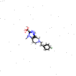 COC(=O)c1nc2c(n1C)CCN(CCc1ccc(F)cc1)C2